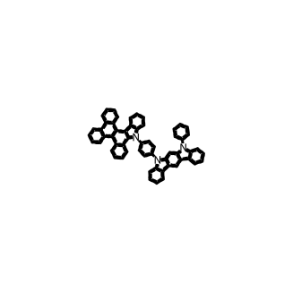 c1ccc(-n2c3ccccc3c3cc4c5ccccc5n(-c5ccc(-n6c7ccccc7c7c8c9ccccc9c9ccccc9c8c8ccccc8c76)cc5)c4cc32)cc1